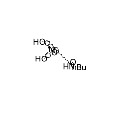 CCCCNC(=O)CCCCCCCCOCC1Cc2ccc(O)cc2CN1C(=O)c1ccc(O)cc1